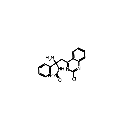 NC(Cc1nc(Cl)nc2ccccc12)(NC(=O)O)c1ccccc1